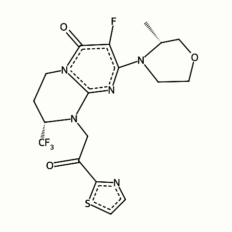 C[C@@H]1COCCN1c1nc2n(c(=O)c1F)CC[C@@H](C(F)(F)F)N2CC(=O)c1nccs1